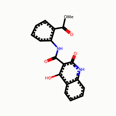 COC(=O)c1ccccc1NC(=O)c1c(O)c2ccccc2[nH]c1=O